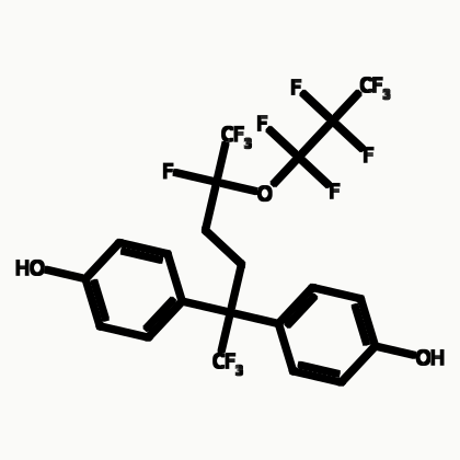 Oc1ccc(C(CCC(F)(OC(F)(F)C(F)(F)C(F)(F)F)C(F)(F)F)(c2ccc(O)cc2)C(F)(F)F)cc1